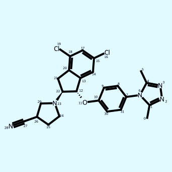 Cc1nnc(C)n1-c1ccc(O[C@H]2c3cc(Cl)cc(Cl)c3C[C@@H]2N2CCC(C#N)C2)cc1